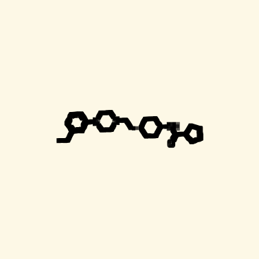 CCc1cccc(N2CCN(CC[C@H]3CC[C@H](NC(=O)C4CC=CC4)CC3)CC2)c1